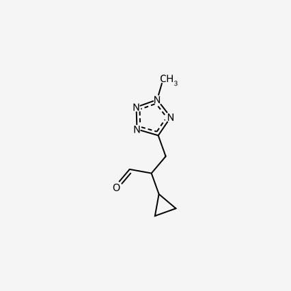 Cn1nnc(CC(C=O)C2CC2)n1